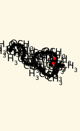 CCSc1nnc(-c2ccc(OCCC(C)(C)OCCC(C)(C)n3cc(COC(=O)N[C@@H](CCC(=O)NCC(C)(C)COCC(C)(C)CC(=O)NCC(C)(C)COCC(C)(C)CNC(=O)C(C)(C)CC(C)(C)C)C(=O)NCC(C)(C)COCC(C)(C)CC(=O)NCC(C)(C)COCC(C)(C)CNC(=O)C(C)(C)CCC(C)(C)C)nn3)cc2)o1